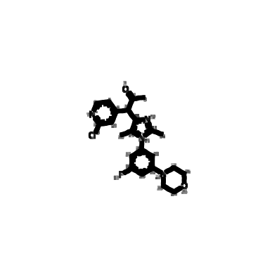 CC(=O)C(c1ccnc(Cl)c1)c1nc(C)n(-c2cc(F)cc(N3CCOCC3)c2)c1C